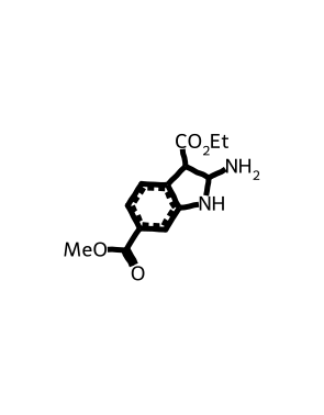 CCOC(=O)C1c2ccc(C(=O)OC)cc2NC1N